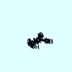 COc1cc(-c2nc3cc(N4CCOCC4)c(C#Cc4ccc(Cl)cc4)cc3[nH]2)cc(OC)c1OC